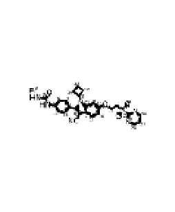 CC(C)NC(=O)Nc1ccc(-c2c(C#N)c3ccc(OCCS(=O)(=O)c4ncccn4)cc3n2C2CCC2)cc1